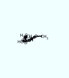 CCCCCCCOc1ccc(-c2cnc(-c3ccc(C[C@H](NC(=O)c4cnn(C(C)C)c4)C(=O)NCC(=O)O)cc3)nc2)cc1